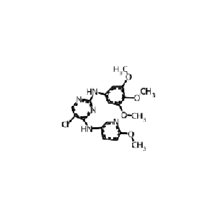 COc1ccc(Nc2nc(Nc3cc(OC)c(OC)c(OC)c3)ncc2Cl)cn1